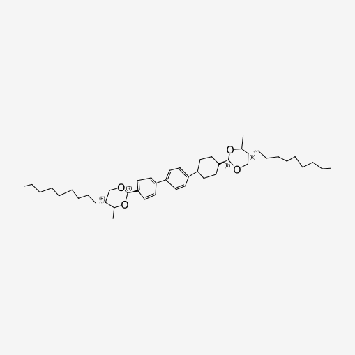 CCCCCCCCC[C@@H]1CO[C@@H](c2ccc(-c3ccc(C4CCC([C@@H]5OC[C@@H](CCCCCCCCC)C(C)O5)CC4)cc3)cc2)OC1C